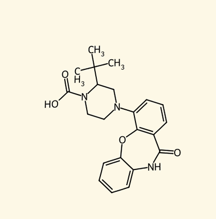 CC(C)(C)C1CN(c2cccc3c2Oc2ccccc2NC3=O)CCN1C(=O)O